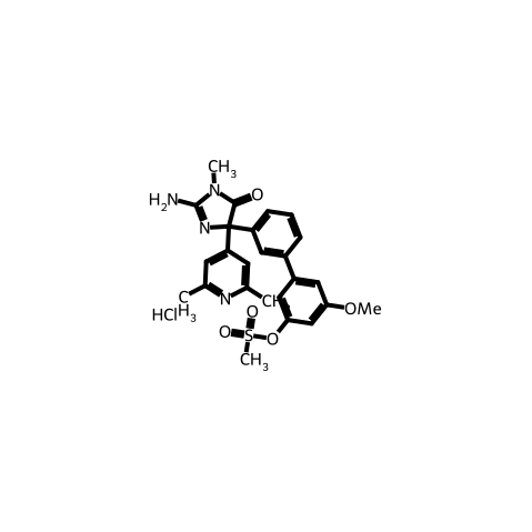 COc1cc(OS(C)(=O)=O)cc(-c2cccc(C3(c4cc(C)nc(C)c4)N=C(N)N(C)C3=O)c2)c1.Cl